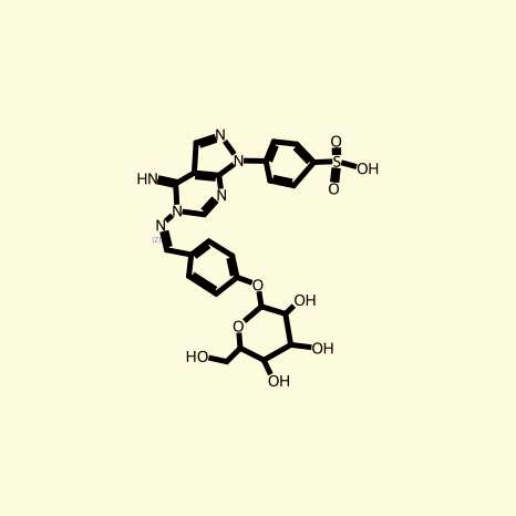 N=c1c2cnn(-c3ccc(S(=O)(=O)O)cc3)c2ncn1/N=C\c1ccc(OC2OC(CO)C(O)C(O)C2O)cc1